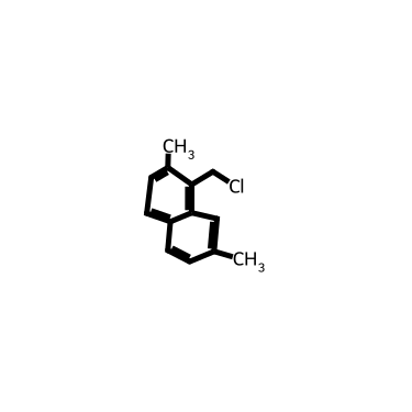 Cc1ccc2ccc(C)c(CCl)c2c1